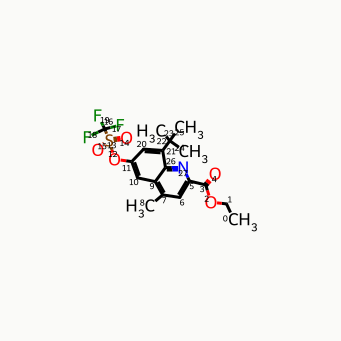 CCOC(=O)c1cc(C)c2cc(OS(=O)(=O)C(F)(F)F)cc(C(C)(C)C)c2n1